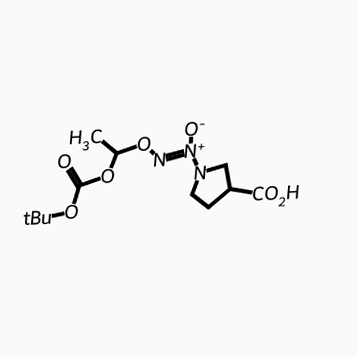 CC(O/N=[N+](\[O-])N1CCC(C(=O)O)C1)OC(=O)OC(C)(C)C